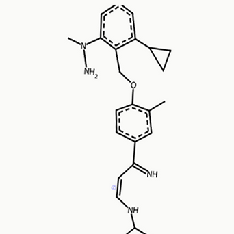 Cc1cc(C(=N)/C=C\NC(C)C)ccc1OCc1c(C2CC2)cccc1N(C)N